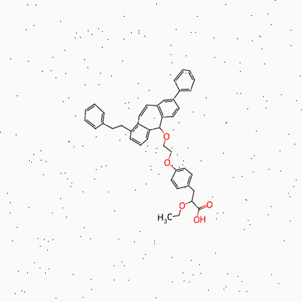 CCOC(Cc1ccc(OCCOC2c3ccc(-c4ccccc4)cc3C=Cc3c(CCc4ccccc4)cccc32)cc1)C(=O)O